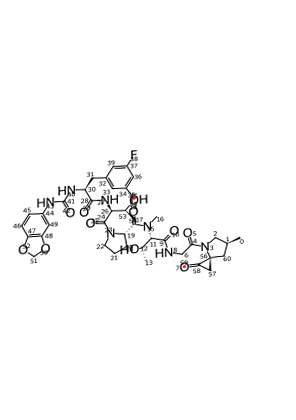 C[C@@H]1CN(C(=O)[C@H](C)NC(=O)[C@H]([C@H](C)O)N(C)C(=O)[C@@H]2CCCN2C(=O)[C@@H](NC(=O)[C@H](Cc2cc(F)cc(F)c2)NC(=O)Nc2ccc3c(c2)OCO3)[C@H](C)O)[C@]2(CC2=O)C1